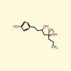 CCC[C@@](C)(O)CC(O)CCc1ccc(O)cc1